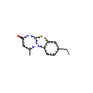 CCOC(=O)Cc1ccc2c(c1)sc1nc(=O)cc(C)n12